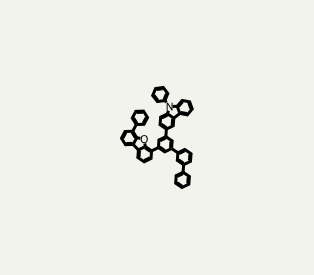 c1ccc(-c2cccc(-c3cc(-c4ccc5c(c4)c4ccccc4n5-c4ccccc4)cc(-c4cccc5c4oc4c(-c6ccccc6)cccc45)c3)c2)cc1